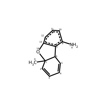 CC12C=CC=CC1c1c(N)cccc1O2